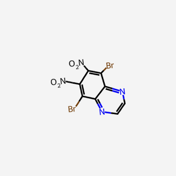 O=[N+]([O-])c1c([N+](=O)[O-])c(Br)c2nccnc2c1Br